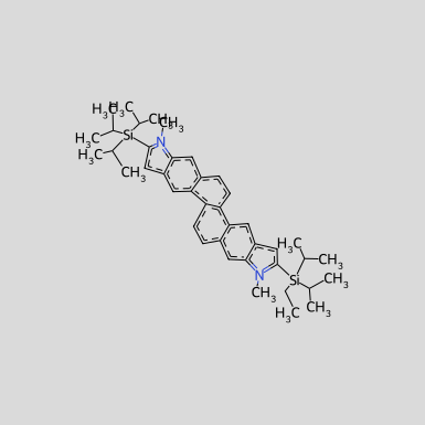 CC[Si](c1cc2cc3c(ccc4c5cc6cc([Si](C(C)C)(C(C)C)C(C)C)n(C)c6cc5ccc34)cc2n1C)(C(C)C)C(C)C